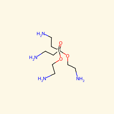 NCC[O][Ti](=[O])([CH2]CN)([CH2]CN)[O]CCN